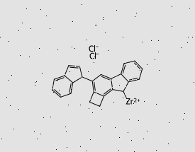 [Cl-].[Cl-].[Zr+2][CH]1c2ccccc2-c2cc(C3C=Cc4ccccc43)c3c(c21)CC3